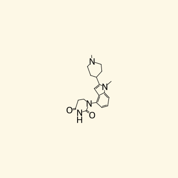 CN1CCC(c2cc3c(N4CCC(=O)NC4=O)cccc3n2C)CC1